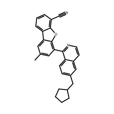 Cc1cc(-c2nccc3cc(CC4CCCC4)ccc23)c2oc3c(C#N)cccc3c2c1